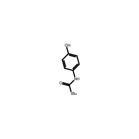 CC(C)(C)C(=O)Nc1ccc(O)cc1